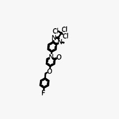 Cn1c(C(Cl)(Cl)Cl)nc2ccc(-n3ccc(OCc4ccc(F)cc4)cc3=O)cc21